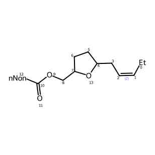 CC/C=C\CC1CCC(COC(=O)CCCCCCCCC)O1